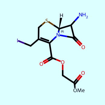 COC(=O)COC(=O)C1=C(CI)CS[C@@H]2C(N)C(=O)N12